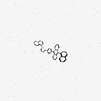 C1=CC(C2=C3C=CCCC3CC=C2)NC(c2ccc(C3=c4ccccc4=C(C4=c5ccccc5=CCC4)C4C=CC=CC34)cc2)=C1